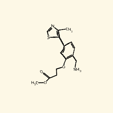 COC(=O)CCOc1cc(-c2scnc2C)ccc1CN